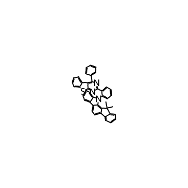 CC1(C)c2ccccc2-c2ccc3c4ccccc4n(-c4ccccc4-c4nc(-c5ccccc5)c5c(n4)sc4ccccc45)c3c21